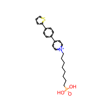 O=P(O)(O)CCCCCCCC[n+]1ccc(-c2ccc(-c3cccs3)cc2)cc1